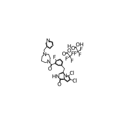 O=C(O)C(F)(F)F.O=C(O)C(F)(F)F.O=C(c1cc(Cc2c[nH]c(=O)c3cc(Cl)c(Cl)n23)ccc1F)N1CCCN(Cc2cccnc2)CC1